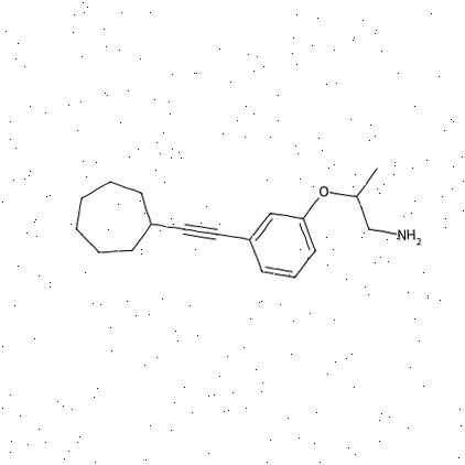 CC(CN)Oc1cccc(C#CC2CCCCCC2)c1